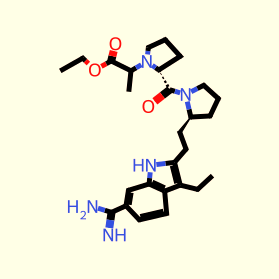 CCOC(=O)C(C)N1CCC[C@@H]1C(=O)N1CCC[C@H]1CCc1[nH]c2cc(C(=N)N)ccc2c1CC